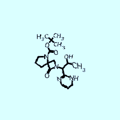 CC(O)C(C1=NC=CCN1)N1CC2(CCCN2C(=O)OC(C)(C)C)C1=O